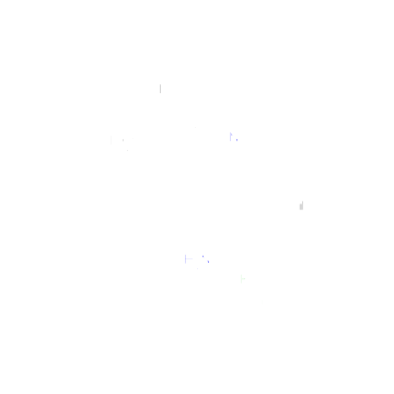 Cc1nc(CC(C)C)c(CN)c(-c2ccc(F)cc2)c1C(=O)O.Cl.Cl